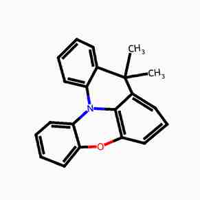 CC1(C)c2ccccc2N2c3ccccc3Oc3cccc1c32